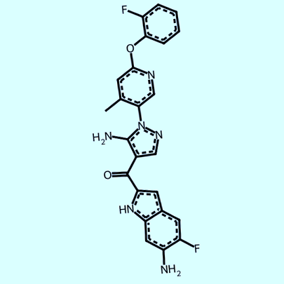 Cc1cc(Oc2ccccc2F)ncc1-n1ncc(C(=O)c2cc3cc(F)c(N)cc3[nH]2)c1N